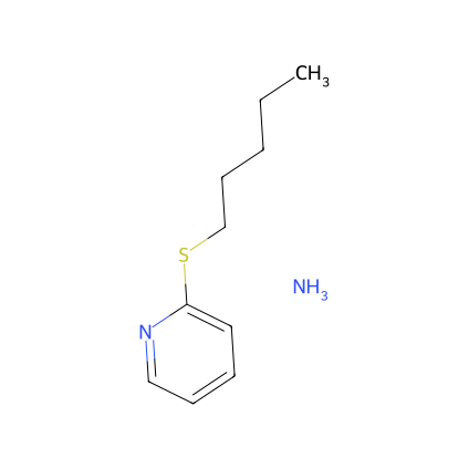 CCCCCSc1ccccn1.N